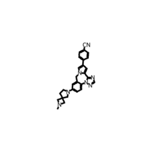 CN1CC2(CCN(c3ccc4c(c3)Cn3cc(-c5ccc(C#N)cc5)cc3-c3ncnn3-4)C2)C1